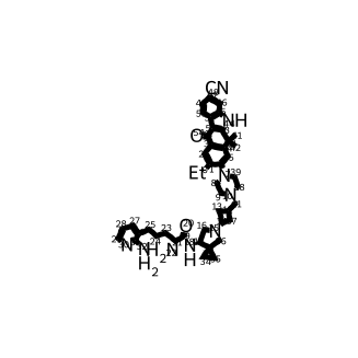 CCc1cc2c(cc1N1CCN(CC3CC(N4C[C@H](NC(=O)[C@@H](N)CCCc5cccnc5N)C5(CC5)C4)C3)CC1)C(C)(C)c1[nH]c3cc(C#N)ccc3c1C2=O